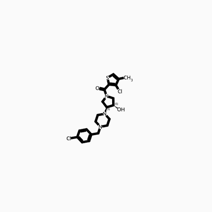 Cc1csc(C(=O)N2C[C@H](O)[C@@H](N3CCN(Cc4ccc(Cl)cc4)CC3)C2)c1Cl